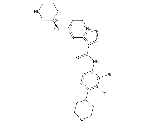 O=C(Nc1ccc(N2CCOCC2)c(F)c1Br)c1cnn2ccc(N[C@@H]3CCCNC3)nc12